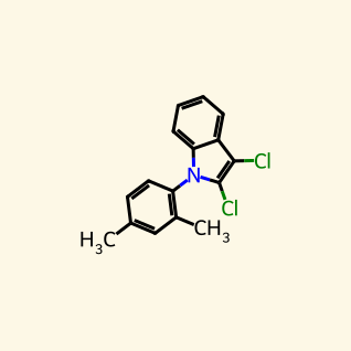 Cc1ccc(-n2c(Cl)c(Cl)c3ccccc32)c(C)c1